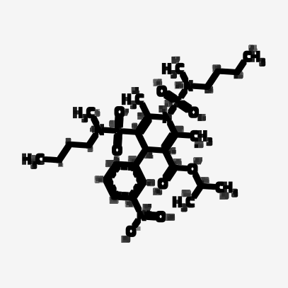 CCCCN(C)S(=O)(=O)C1=C(C)N(S(=O)(=O)N(C)CCCC)C(C)=C(C(=O)OC(C)C)C1c1cccc([N+](=O)[O-])c1